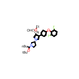 CCCCC(OC(C)(C)C)N1CC[C@@H](n2cc(C#N)c(-c3ccc(Oc4c(F)cccc4F)cc3)c2)C1.CCOC=O